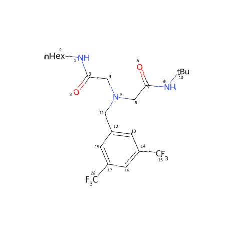 CCCCCCNC(=O)CN(CC(=O)NC(C)(C)C)Cc1cc(C(F)(F)F)cc(C(F)(F)F)c1